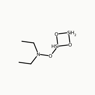 CCN(CC)O[SiH]1O[SiH2]O1